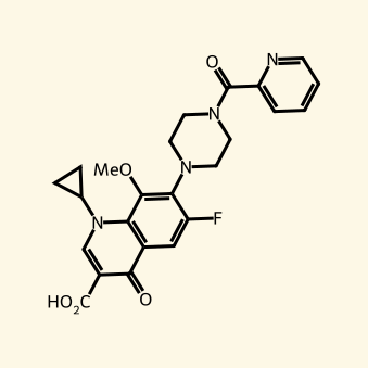 COc1c(N2CCN(C(=O)c3ccccn3)CC2)c(F)cc2c(=O)c(C(=O)O)cn(C3CC3)c12